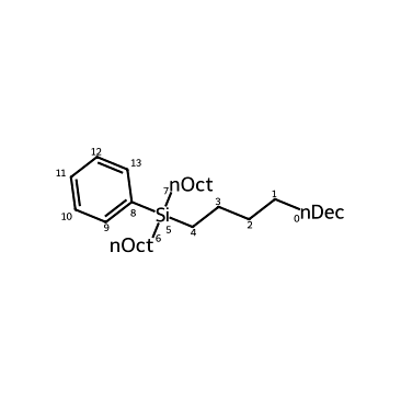 CCCCCCCCCCCCCC[Si](CCCCCCCC)(CCCCCCCC)c1ccccc1